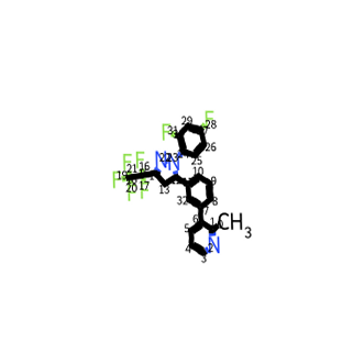 Cc1ncccc1-c1cccc(C2CC(C(F)(F)C(F)(F)F)=NN2c2ccc(F)cc2F)c1